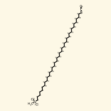 C[Si](Cl)(Cl)CCCCCCCCCCCCCCCCCCCCCCCCCCCCCCCCCCCCN=C=O